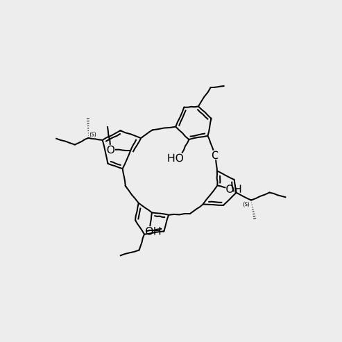 CCc1cc2c(O)c(c1)Cc1cc([C@@H](C)CC)cc(c1OC)Cc1cc(CC)cc(c1O)Cc1cc([C@@H](C)CC)cc(c1O)C2